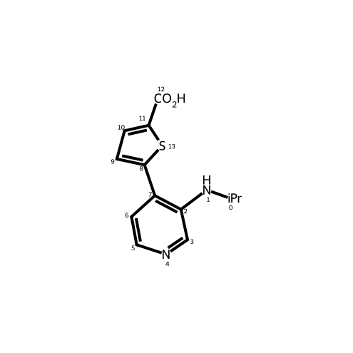 CC(C)Nc1cnccc1-c1ccc(C(=O)O)s1